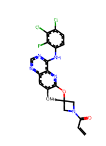 C=CC(=O)N1CC(C)(Oc2nc3c(Nc4ccc(Cl)c(Cl)c4F)ncnc3cc2OC)C1